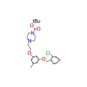 Cc1cc(OCCN2CCN(C(=O)OC(C)(C)C)CC2)cc(OCc2ccccc2Cl)c1